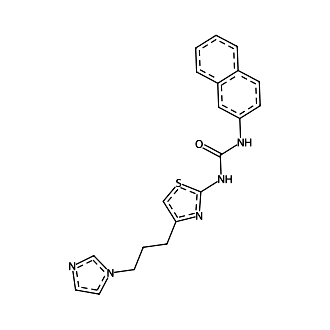 O=C(Nc1ccc2ccccc2c1)Nc1nc(CCCn2ccnc2)cs1